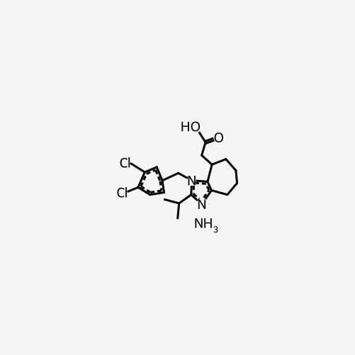 CC(C)c1nc2c(n1Cc1ccc(Cl)c(Cl)c1)C(CC(=O)O)CCCC2.N